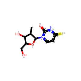 CC1C(O)C(CO)OC1n1ccc(=S)[nH]c1=O